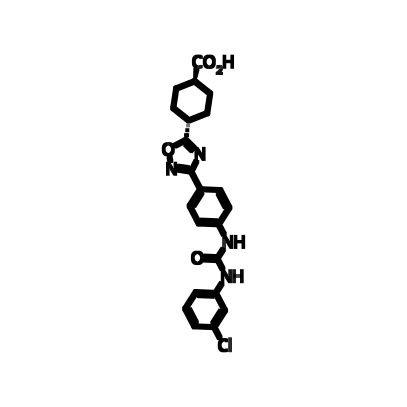 O=C(Nc1ccc(-c2noc([C@H]3CC[C@H](C(=O)O)CC3)n2)cc1)Nc1cccc(Cl)c1